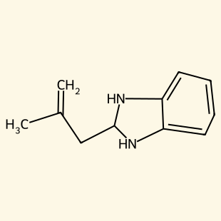 C=C(C)CC1Nc2ccccc2N1